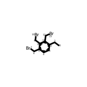 CCc1ccc(CBr)c(CBr)c1CBr